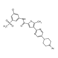 CC(=O)N1CCC(c2cnc(-c3cc(C(=O)Nc4cc(Cl)cc(S(C)(=O)=O)c4)sc3C)nc2)CC1